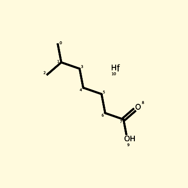 CC(C)CCCCC(=O)O.[Hf]